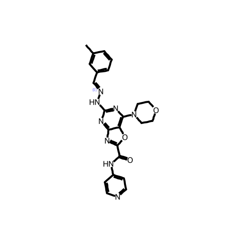 Cc1cccc(/C=N/Nc2nc(N3CCOCC3)c3oc(C(=O)Nc4ccncc4)nc3n2)c1